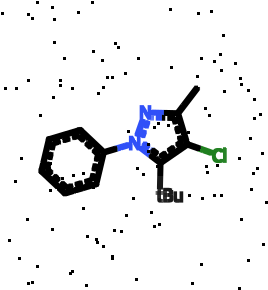 Cc1nn(-c2ccccc2)c(C(C)(C)C)c1Cl